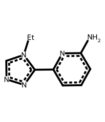 CCn1cnnc1-c1cccc(N)n1